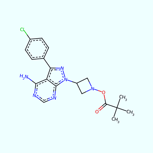 CC(C)(C)C(=O)ON1CC(n2nc(-c3ccc(Cl)cc3)c3c(N)ncnc32)C1